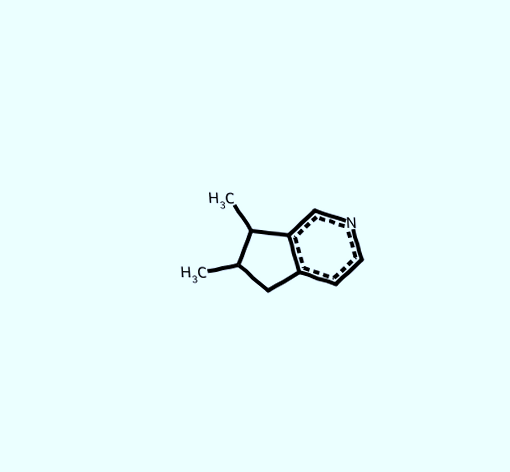 CC1Cc2ccncc2C1C